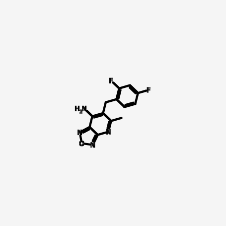 Cc1nc2nonc2c(N)c1Cc1ccc(F)cc1F